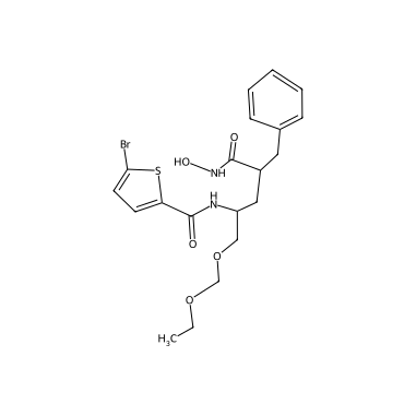 CCOCOCC(CC(Cc1ccccc1)C(=O)NO)NC(=O)c1ccc(Br)s1